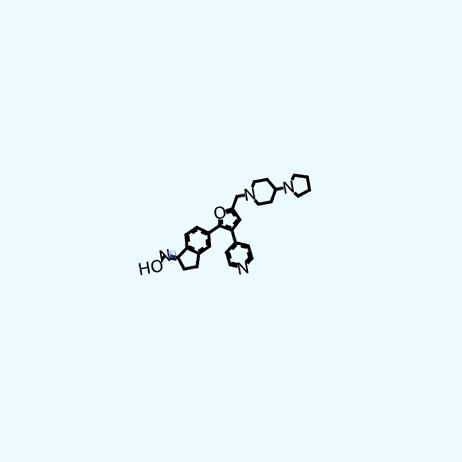 O/N=C1\CCc2cc(-c3oc(CN4CCC(N5CCCC5)CC4)cc3-c3ccncc3)ccc21